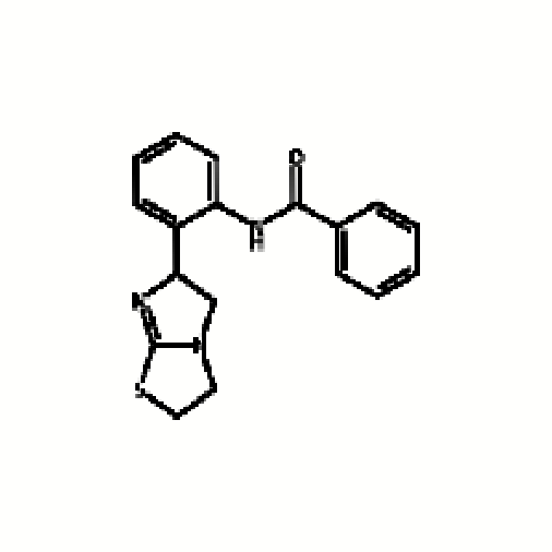 O=C(Nc1ccccc1C1CN2CCSC2=N1)c1ccccc1